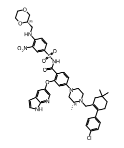 C[C@@H]1CN(c2ccc(C(=O)NS(=O)(=O)c3ccc(NC[C@@H]4COCCO4)c([N+](=O)[O-])c3)c(Oc3cnc4[nH]ccc4c3)c2)CCN1CC1=C(c2ccc(Cl)cc2)CCC(C)(C)C1